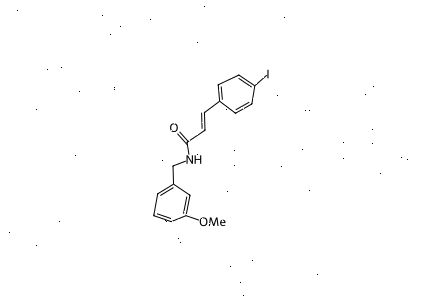 COc1cccc(CNC(=O)C=Cc2ccc(I)cc2)c1